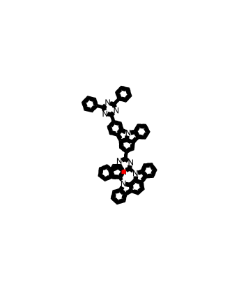 c1ccc(-c2nc(-c3ccccc3)nc(-c3ccc4c5cc(-c6nc(-c7ccccc7)nc(-n7c8ccccc8c8ccc9c%10ccccc%10n(-c%10ccccc%10)c9c87)n6)cc6c7ccccc7n(c4c3)c65)n2)cc1